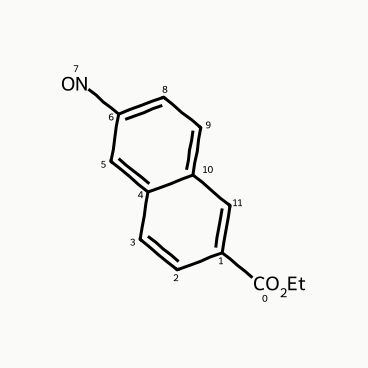 CCOC(=O)c1ccc2cc(N=O)ccc2c1